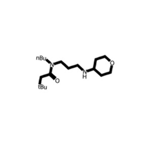 CCCCN(CCCNC1CCOCC1)C(=O)CC(C)(C)C